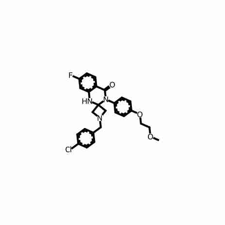 COCCOc1ccc(N2C(=O)c3ccc(F)cc3NC23CN(Cc2ccc(Cl)cc2)C3)cc1